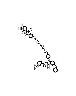 O=C1CCC(N2C(=O)c3ccc(OCCOCCOCCOCc4ccc(N5c6ccc(CN7CCCCC7)cc6NC5NC(=O)c5cccc(C(F)(F)F)c5)cc4)cc3C2=O)C(=O)N1